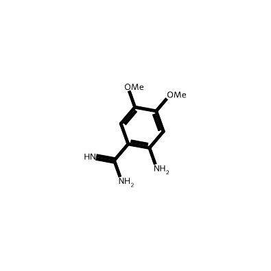 COc1cc(N)c(C(=N)N)cc1OC